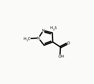 Cn1cc(C(=O)O)cn1.S